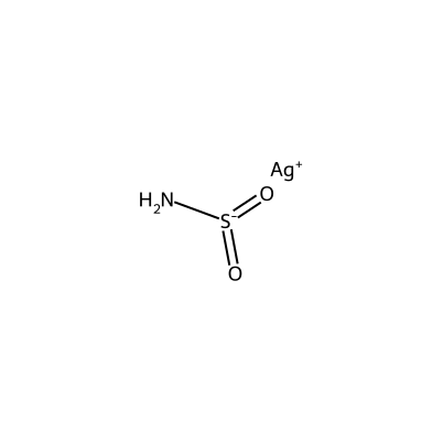 N[S-](=O)=O.[Ag+]